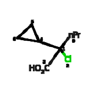 CCCC(Cl)(C(=O)O)C1CC1